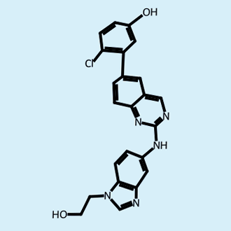 OCCn1cnc2cc(Nc3ncc4cc(-c5cc(O)ccc5Cl)ccc4n3)ccc21